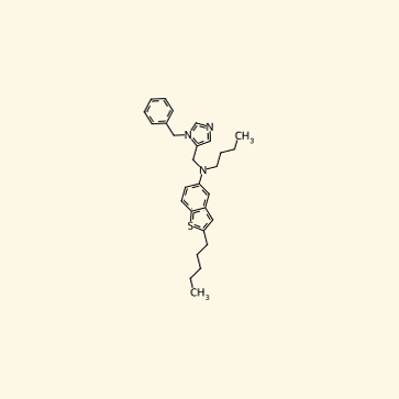 CCCCCc1cc2cc(N(CCCC)Cc3cncn3Cc3ccccc3)ccc2s1